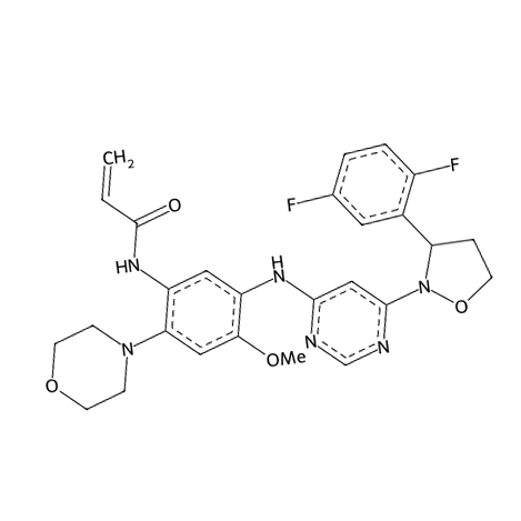 C=CC(=O)Nc1cc(Nc2cc(N3OCCC3c3cc(F)ccc3F)ncn2)c(OC)cc1N1CCOCC1